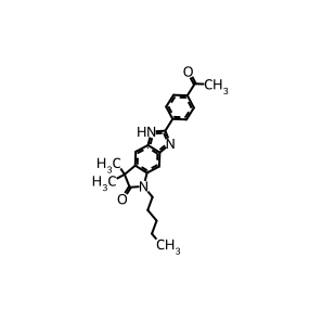 CCCCCN1C(=O)C(C)(C)c2cc3[nH]c(-c4ccc(C(C)=O)cc4)nc3cc21